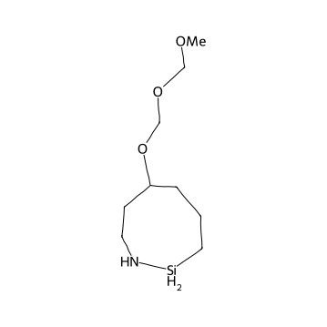 COCOCOC1CCC[SiH2]NCC1